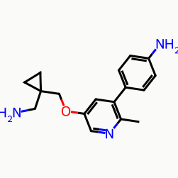 Cc1ncc(OCC2(CN)CC2)cc1-c1ccc(N)cc1